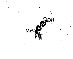 CO[C@H](c1ccc(N2CCN(C(=O)CO)CC2)cc1)[C@@H](CF)N=[N+]=[N-]